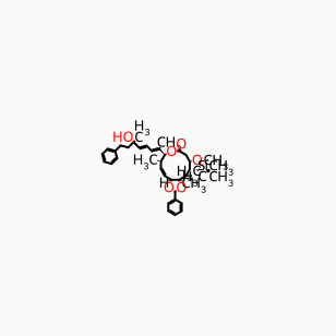 CC(=CC=CC(C)(O)CCc1ccccc1)[C@H]1OC(=O)C[C@H](O[Si](C)(C)C(C)(C)C)CC[C@@]2(C)OC(c3ccccc3)O[C@H]2C=C[C@@H]1C